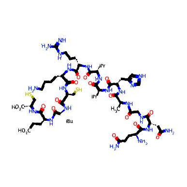 CC[C@H](C)[C@H](NC(=O)[C@H](CS)NC(=O)[C@H](CCCCN)NC(=O)[C@H](CCCNC(=N)N)NC(=O)[C@@H](NC(=O)[C@@H](NC(=O)[C@H](Cc1c[nH]cn1)NC(=O)[C@H](C)NC(=O)CNC(=O)[C@H](CC(N)=O)NC(=O)[C@@H](N)CCC(N)=O)C(C)C)C(C)C)C(=O)N[C@@H](CCC(=O)O)C(=O)N[C@@H](CS)C(=O)O